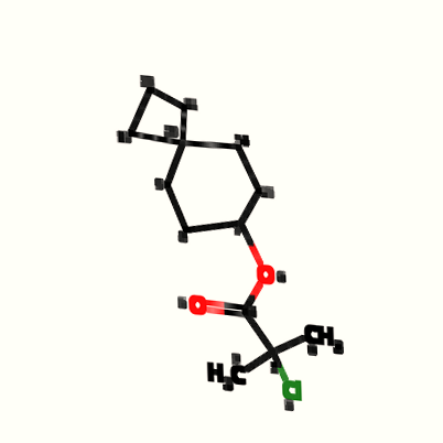 CC(C)(Cl)C(=O)OC1CCC2(CCC2)CC1